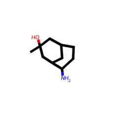 CC1(O)CC2CCC(N)C(C2)C1